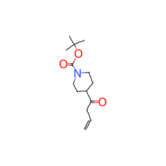 C=CCC(=O)C1CCN(C(=O)OC(C)(C)C)CC1